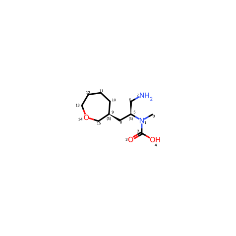 CN(C(=O)O)[C@H](CN)C[C@@H]1CCCCOC1